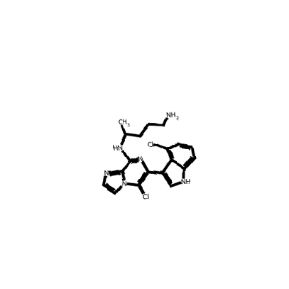 CC(CCCN)Nc1nc(-c2c[nH]c3cccc(Cl)c23)c(Cl)n2ccnc12